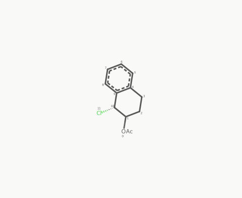 CC(=O)OC1CCc2ccccc2[C@H]1Cl